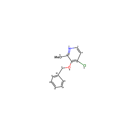 COc1nccc(Cl)c1OCc1ccccc1